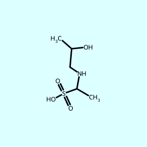 CC(O)CNC(C)S(=O)(=O)O